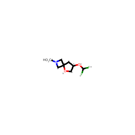 O=C(O)N1CC2(CC(OC(F)F)CO2)C1